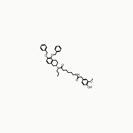 CCCN(C(=O)CCCCCNC(=O)Cc1ccc(O)c(OC)c1)[C@H]1CCc2c(ccc(OCc3ccccc3)c2OCc2ccccc2)C1